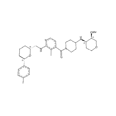 CO[C@H]1COCC[C@H]1NC1CCN(C(=O)c2ccnc(NC[C@H]3CCC[C@@H](c4ccc(C)cc4)O3)c2C)CC1